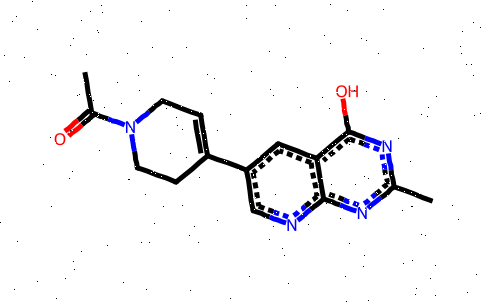 CC(=O)N1CC=C(c2cnc3nc(C)nc(O)c3c2)CC1